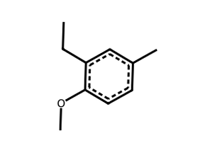 CCc1cc(C)ccc1OC